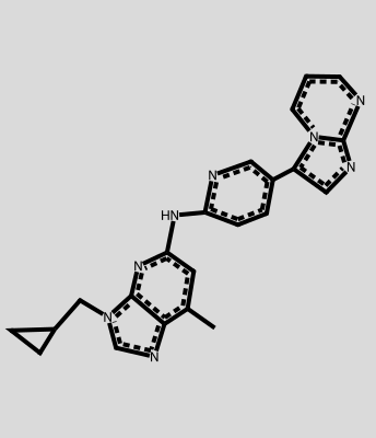 Cc1cc(Nc2ccc(-c3cnc4ncccn34)cn2)nc2c1ncn2CC1CC1